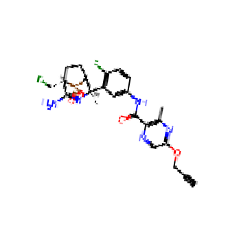 C#CCOc1cnc(C(=O)Nc2ccc(F)c([C@@]3(C)N=C(N)[C@@]4(CF)CCC3S4(=O)=O)c2)c(C)n1